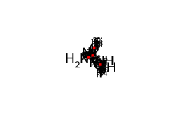 CC(C)C(Nc1cncc(-c2cn(COCC[Si](C)(C)C)c3ncc(N)cc23)c1)C(=O)NCC(F)(F)F